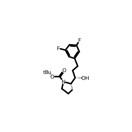 CC(C)(C)OC(=O)N1CCC[C@H]1[C@@H](O)CCc1cc(F)cc(F)c1